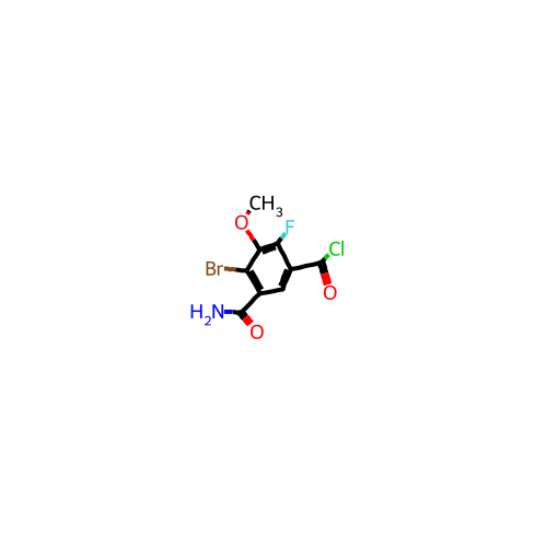 COc1c(F)c(C(=O)Cl)cc(C(N)=O)c1Br